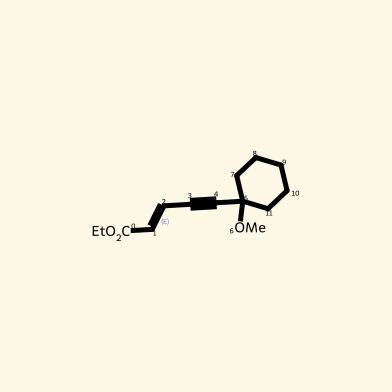 CCOC(=O)/C=C/C#CC1(OC)CCCCC1